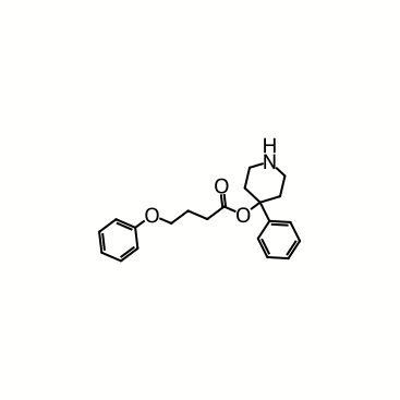 O=C(CCCOc1ccccc1)OC1(c2ccccc2)CCNCC1